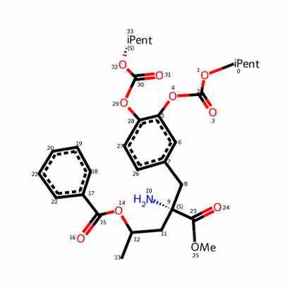 CCCC(C)OC(=O)Oc1cc(C[C@](N)(CC(C)OC(=O)c2ccccc2)C(=O)OC)ccc1OC(=O)O[C@@H](C)CCC